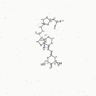 C=C1[C@H](O)CC(=C/C=C2\CCC[C@]3(C)[C@@H](C(C)CCN4CC[C@@H](CC(F)F)C4)CC[C@@H]23)C[C@H]1O